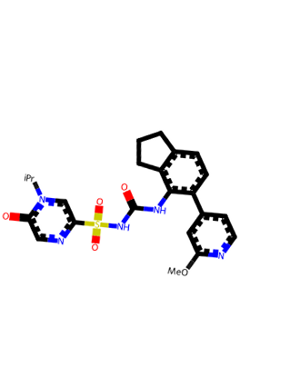 COc1cc(-c2ccc3c(c2NC(=O)NS(=O)(=O)c2cn(C(C)C)c(=O)cn2)CCC3)ccn1